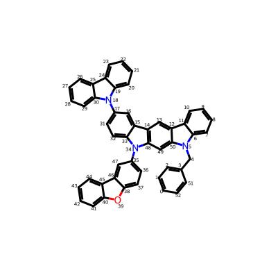 c1ccc(Cn2c3ccccc3c3cc4c5cc(-n6c7ccccc7c7ccccc76)ccc5n(-c5ccc6oc7ccccc7c6c5)c4cc32)cc1